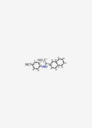 N#Cc1ccc(NC(C(=O)O)c2ccc3ccccc3c2)cc1